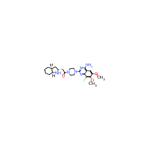 COc1cc2c(N)nc(N3CCN(C(=O)C[C@H]4C[C@@H]5CCCC[C@@H]5N4)CC3)nc2c(F)c1OC